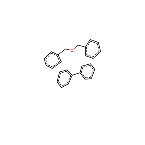 c1ccc(-c2ccccc2)cc1.c1ccc(COCc2ccccc2)cc1